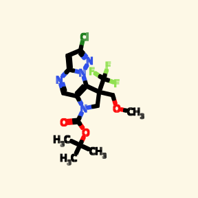 COCC1(C(F)(F)F)CN(C(=O)OC(C)(C)C)c2cnc3cc(Cl)nn3c21